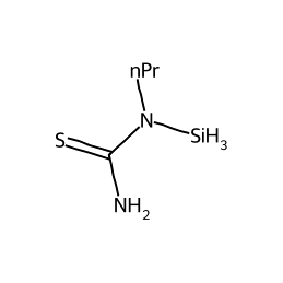 CCCN([SiH3])C(N)=S